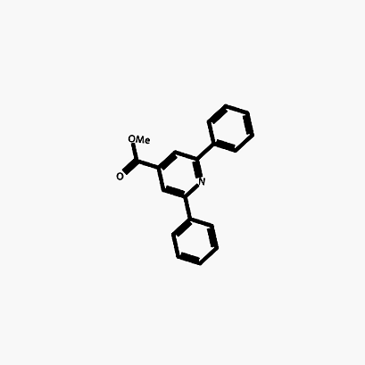 COC(=O)c1cc(-c2ccccc2)nc(-c2ccccc2)c1